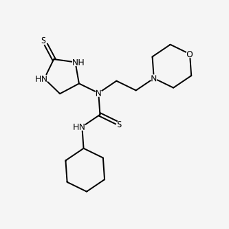 S=C1NCC(N(CCN2CCOCC2)C(=S)NC2CCCCC2)N1